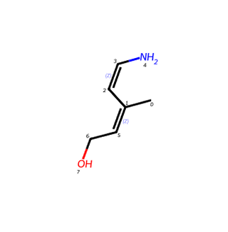 CC(/C=C\N)=C/CO